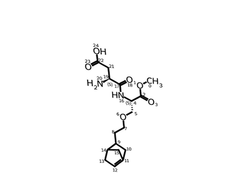 COC(=O)[C@H](COCCC1CC2=CCC1C2)NC(=O)[C@@H](N)CC(=O)O